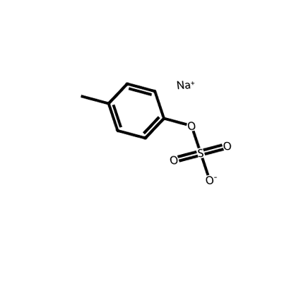 Cc1ccc(OS(=O)(=O)[O-])cc1.[Na+]